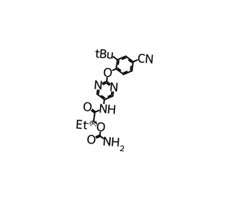 CC[C@@H](OC(N)=O)C(=O)Nc1cnc(Oc2ccc(C#N)cc2C(C)(C)C)nc1